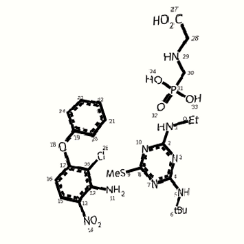 CCNc1nc(NC(C)(C)C)nc(SC)n1.Nc1c([N+](=O)[O-])ccc(Oc2ccccc2)c1Cl.O=C(O)CNCP(=O)(O)O